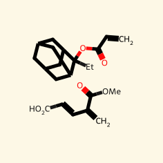 C=C(C=CC(=O)O)C(=O)OC.C=CC(=O)OC1(CC)C2CC3CC(C2)CC1C3